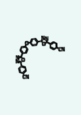 N#Cc1ccc(-c2nnc(-c3ccc(Oc4ccc(-c5nnc(-c6ccc(C#N)cc6)o5)cc4)cc3)o2)cc1